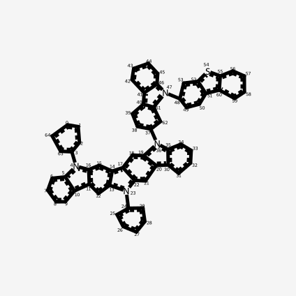 c1ccc(-n2c3ccccc3c3cc4c(cc32)c2cc3c(cc2n4-c2ccccc2)c2ccccc2n3-c2ccc3c4ccccc4n(-c4ccc5c(c4)sc4ccccc45)c3c2)cc1